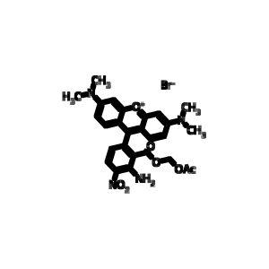 CC(=O)OCOC(=O)c1c(-c2c3ccc(N(C)C)cc3[o+]c3cc(N(C)C)ccc23)ccc([N+](=O)[O-])c1N.[Br-]